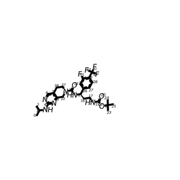 CC(C)Nc1ncc2c(n1)CN(C(=O)N[C@H](CCNC(=O)OC(C)(C)C)c1ccc(C(F)(F)F)c(F)c1)CC2